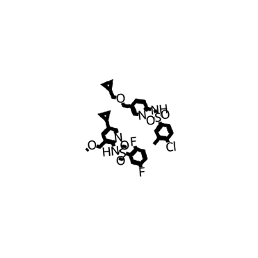 COCc1cc(C2CC2)cnc1NS(=O)(=O)c1cc(F)ccc1F.Cc1cc(S(=O)(=O)Nc2ccc(COCC3CC3)cn2)ccc1Cl